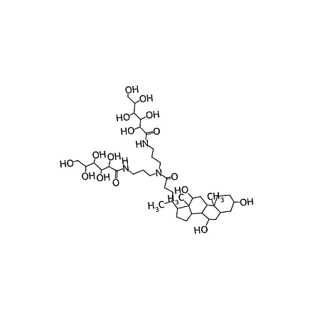 CC(CCC(=O)N(CCCNC(=O)C(O)C(O)C(O)C(O)CO)CCCNC(=O)C(O)C(O)C(O)C(O)CO)C1CCC2C3C(O)CC4CC(O)CCC4(C)C3CC(O)C12C